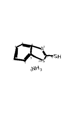 N.Sc1nc2ccccc2s1